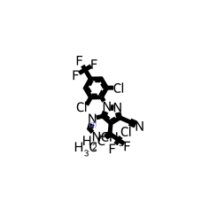 C=C(c1c(C#N)nn(-c2c(Cl)cc(C(F)(F)F)cc2Cl)c1/N=C\N(C)C)C(F)(F)Cl